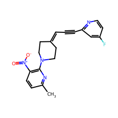 Cc1ccc([N+](=O)[O-])c(N2CCC(=CC#Cc3cc(F)ccn3)CC2)n1